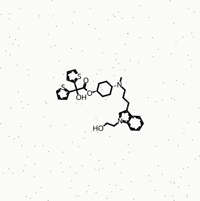 CN(CCCc1cn(CCO)c2ccccc12)[C@H]1CC[C@H](OC(=O)C(O)(c2cccs2)c2cccs2)CC1